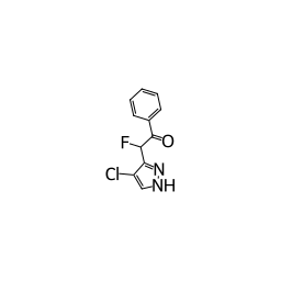 O=C(c1ccccc1)C(F)c1n[nH]cc1Cl